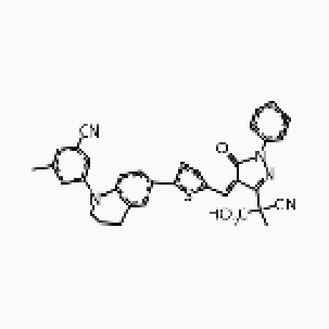 Cc1cc(C#N)cc(N2CCCc3cc(-c4ccc(/C=C5\C(=O)N(c6ccccc6)N=C5C(C)(C#N)C(=O)O)s4)ccc32)c1